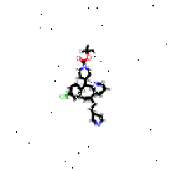 CC(C)(C)OC(=O)N1CCC(C2c3ccc(Cl)cc3C=C(CCC3C=CN=C3)c3cccnc32)CC1